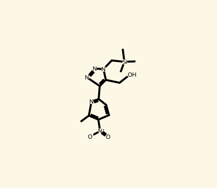 Cc1nc(-c2nnn(C[Si](C)(C)C)c2CO)ccc1[N+](=O)[O-]